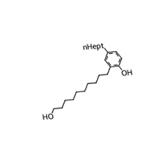 CCCCCCCc1ccc(O)c(CCCCCCCCCCO)c1